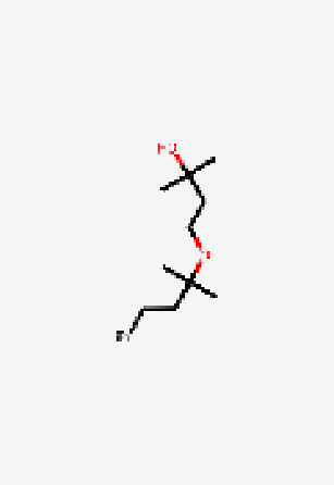 CC(C)CCC(C)(C)OCCC(C)(C)O